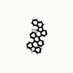 CC1(C)c2c(cccc2-c2c3ccccc3c(-c3cccc4oc5ccccc5c34)c3ccccc23)-c2ccc3ccccc3c21